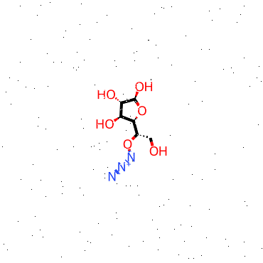 [N-]=[N+]=NO[C@@H](CO)[C@H]1O[C@H](O)[C@@H](O)[C@@H]1O